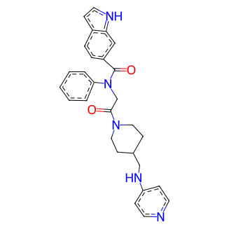 O=C(CN(C(=O)c1ccc2cc[nH]c2c1)c1ccccc1)N1CCC(CNc2ccncc2)CC1